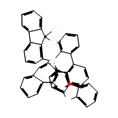 CC1(C)c2ccccc2-c2cccc(N(c3ccc4oc5ccccc5c4c3)c3ccccc3-c3cccc4oc5c6ccccc6ccc5c34)c21